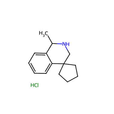 CC1NCC2(CCCC2)c2ccccc21.Cl